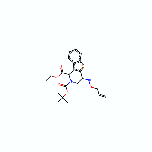 C=CCONC1CN(C(=O)OC(C)(C)C)C(C(=O)OCC)c2c1sc1ccccc21